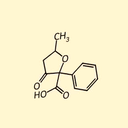 CC1CC(=O)C(C(=O)O)(c2ccccc2)O1